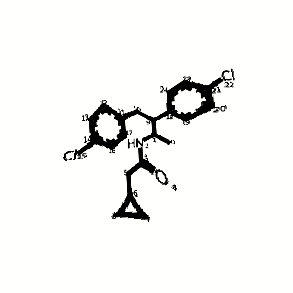 CC(NC(=O)CC1CC1)C(Cc1ccc(Cl)cc1)c1ccc(Cl)cc1